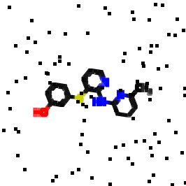 CC1=CCCC(Nc2ncccc2Sc2cccc(O)c2)=N1